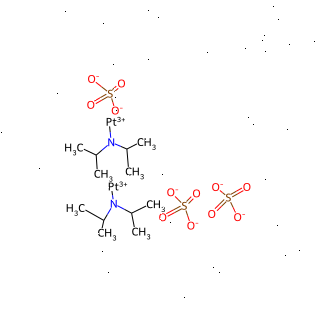 CC(C)[N]([Pt+3])C(C)C.CC(C)[N]([Pt+3])C(C)C.O=S(=O)([O-])[O-].O=S(=O)([O-])[O-].O=S(=O)([O-])[O-]